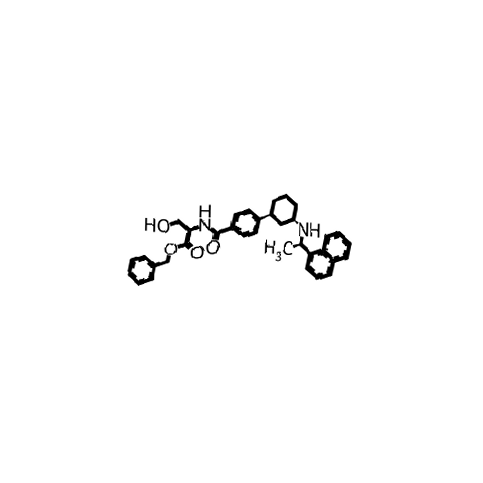 C[C@@H](N[C@H]1CCC[C@H](c2ccc(C(=O)NC(CO)C(=O)OCc3ccccc3)cc2)C1)c1cccc2ccccc12